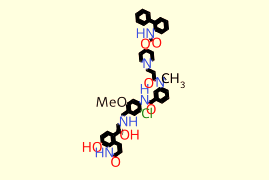 COc1cc(NC(=O)c2cccc(N(C)C(=O)CCN3CCC(OC(=O)Nc4ccccc4-c4ccccc4)CC3)c2)c(Cl)cc1CNC[C@H](O)c1ccc(O)c2[nH]c(=O)ccc12